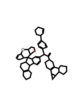 C=C(C1CCC2=C(C1)C1CCCCC1C1CC21)C(C1=CC2C(C=C1)C1C3=C(CCCC3)CCC1C21C2C=CCCC2OC2C=CCCC21)c1ccc(C2C=CCCC2)cc1